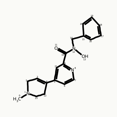 CN1CC=C(c2ccnc(C(=O)N(O)Cc3ccccc3)c2)CC1